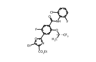 CCOC(=O)c1nc(-c2cc(O[C@@H](C)C(F)(F)F)c(C(=O)Nc3c(F)cccc3Cl)cc2F)oc1CC